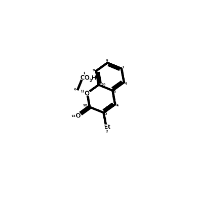 CC(=O)O.CCc1cc2ccccc2oc1=O